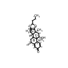 CCCC1O[C@@H]2C[C@H]3[C@@H]4C[C@H](F)C5=CC(=O)C=C[C@]5(C)[C@@]4(F)[C@@H](O)C[C@]3(C)[C@]2(SC)O1